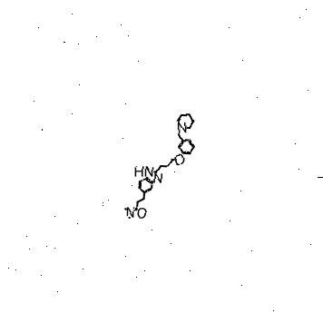 CN(C)C(=O)CCc1ccc2[nH]c(CCCOc3cccc(CN4CCCCC4)c3)nc2c1